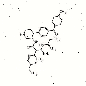 C=C(CC)NC(N)C(C(=O)NC1CNCCC1c1ccc(C(=O)N2CCN(C)CC2)cc1)C(C)/N=C\C(F)CC